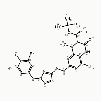 Cc1nc(NCc2cnn(Cc3cc(F)c(F)c(F)c3)c2)nc2c1NC(=O)C([C@H](C)OC(C)(C)C)N2C